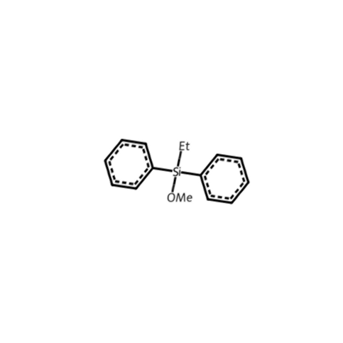 CC[Si](OC)(c1ccccc1)c1ccccc1